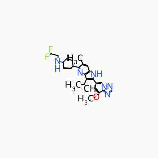 COc1cc(-c2[nH]c3cc(C)c(C4CCC(NCC(F)F)CC4)nc3c2C(C)C)cn2ncnc12